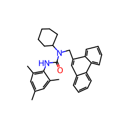 Cc1cc(C)c(NC(=O)N(Cc2cc3ccccc3c3ccccc23)C2CCCCC2)c(C)c1